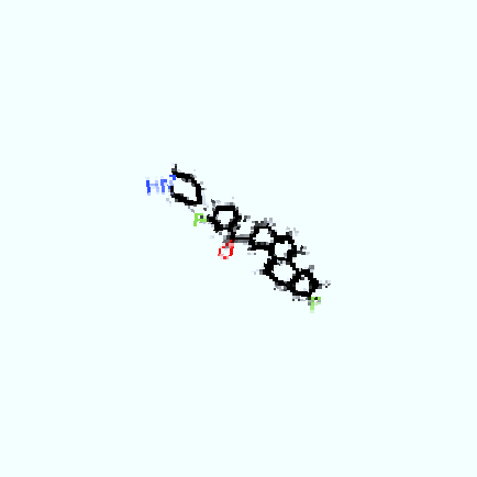 C1=CC=CNC=C1.O=C(c1cccc(F)c1)C1C=c2c(ccc3c2=CCc2cc(F)ccc2-3)CC1